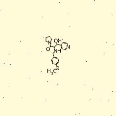 COc1ccc(CN[C@@H](C(=O)N2CCCC2)[C@@H](O)c2ccncc2)cc1